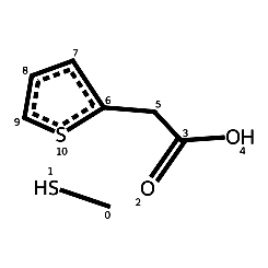 CS.O=C(O)Cc1cccs1